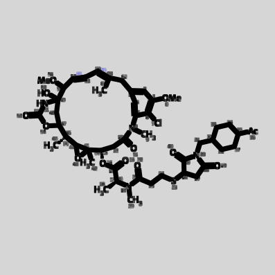 COc1cc2cc(c1Cl)N(C)C(=O)C[C@H](OC(=O)[C@H](C)N(C)C(=O)CCSC1CC(=O)N(CC3CCC(C(C)=O)CC3)C1=O)C1(C)OC1[C@H](C)C1CC(O)(NC(=O)O1)C(OC)/C=C/C=C(\C)C2